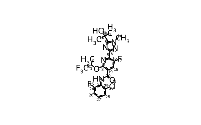 C[C@H](Oc1nc(-c2nc(C(C)(C)O)n(C)n2)c(F)cc1C(=O)Nc1c(F)cccc1Cl)C(F)(F)F